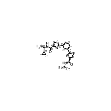 CCC(CC)NC(=O)c1cnc(-c2cccc(-c3nc(C(=O)NC(C)C4CC4)cs3)c2)o1